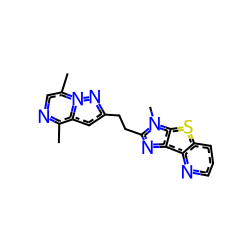 Cc1ncc(C)n2nc(CCc3nc4c5ncccc5sc4n3C)cc12